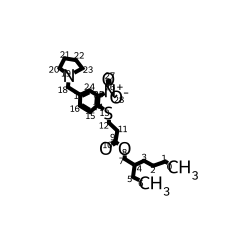 CCCCC(CC)COC(=O)CCSc1ccc(CN2CCCC2)cc1[N+](=O)[O-]